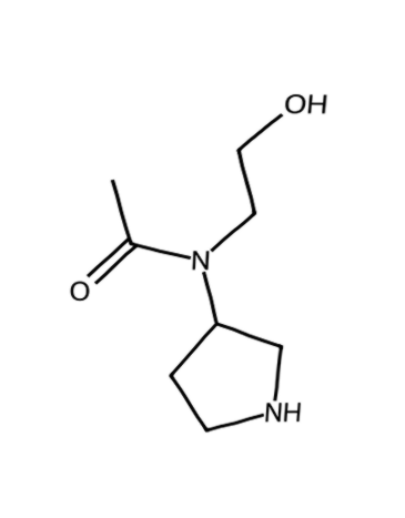 CC(=O)N(CCO)C1CCNC1